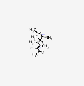 C=C/N=C(/N)C(C)(CC)N(C)/C=C(\O)C(C)=O